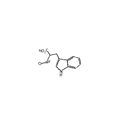 O=C(O)C(Cc1c[nH]c2ccccc12)NCl